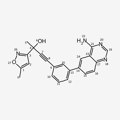 Cc1cc(C(C)(O)C#Cc2cccc(-c3ccc4ncnc(N)c4c3)c2)no1